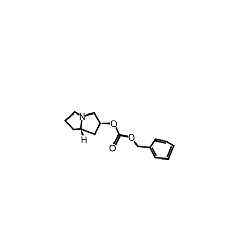 O=C(OCc1ccccc1)O[C@H]1C[C@@H]2CCCN2C1